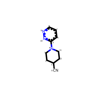 N#CC1CCN(c2cccnn2)CC1